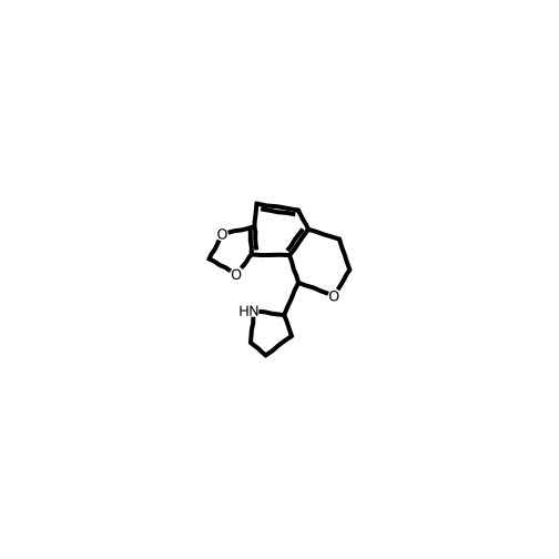 c1cc2c(c3c1CCOC3C1CCCN1)OCO2